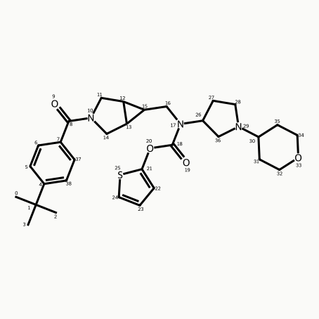 CC(C)(C)c1ccc(C(=O)N2CC3C(C2)C3CN(C(=O)Oc2cccs2)C2CCN(C3CCOCC3)C2)cc1